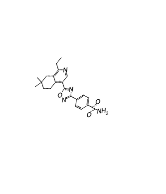 CCc1ncc(-c2nc(-c3ccc(S(N)(=O)=O)cc3)no2)c2c1CC(C)(C)CC2